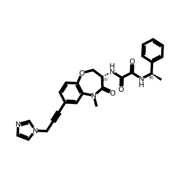 C[C@@H](NC(=O)C(=O)N[C@H]1COc2ccc(C#CCn3ccnc3)cc2N(C)C1=O)c1ccccc1